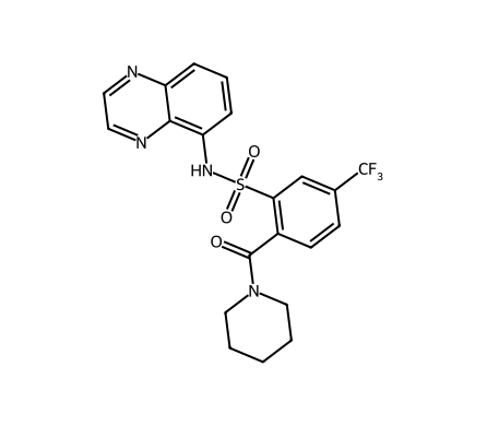 O=C(c1ccc(C(F)(F)F)cc1S(=O)(=O)Nc1cccc2nccnc12)N1CCCCC1